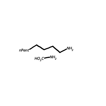 CCCCCCCCCN.NC(=O)O